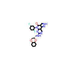 O=c1c2c[nH]nc2c2cnc(NC[C@H]3COc4ccccc4O3)nc2n1-c1cc(F)ccc1F